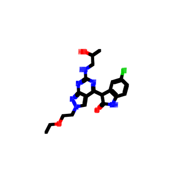 CCOCCn1cc2c(C3C(=O)Nc4ccc(Cl)cc43)nc(NCC(C)O)nc2n1